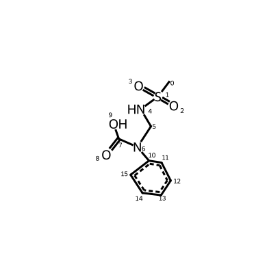 CS(=O)(=O)NCN(C(=O)O)c1ccccc1